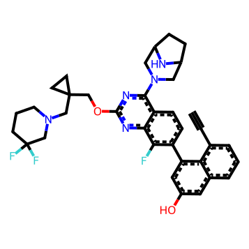 C#Cc1cccc2cc(O)cc(-c3ccc4c(N5CC6CCC(C5)N6)nc(OCC5(CN6CCCC(F)(F)C6)CC5)nc4c3F)c12